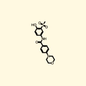 CS(=O)(=O)c1cc(NC(=O)c2ccc(N3CCOCC3)cc2)ccc1O